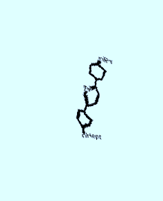 CCCCCCCc1ccc(-c2ccc(C3CCC(CCC)CC3)nc2)cc1